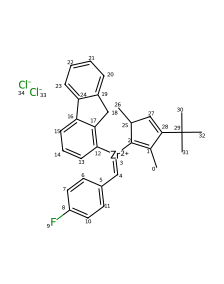 CC1=[C](/[Zr+2](=[CH]/c2ccc(F)cc2)[c]2cccc3c2Cc2ccccc2-3)C(C)C=C1C(C)(C)C.[Cl-].[Cl-]